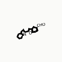 O=Cc1ccc2oc(-c3ccc4ccccc4n3)cc2c1